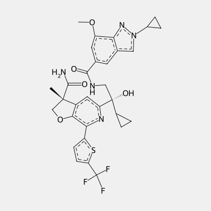 COc1cc(C(=O)NC[C@](O)(c2cc3c(c(-c4ccc(C(F)(F)F)s4)n2)OC[C@]3(C)C(N)=O)C2CC2)cc2cn(C3CC3)nc12